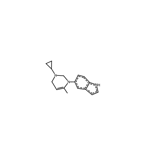 CC1=CCN(C2CC2)CN1c1ccc2[nH]ccc2c1